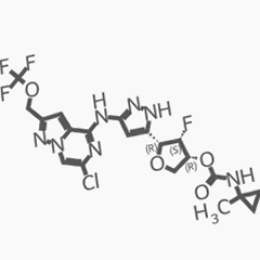 CC1(NC(=O)O[C@@H]2CO[C@H](c3cc(Nc4nc(Cl)cn5nc(COC(F)(F)F)cc45)n[nH]3)[C@@H]2F)CC1